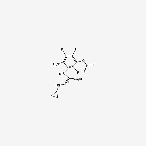 CCOC(=O)/C(=C/NC1CC1)C(=O)c1c(F)c(OC(F)F)c(F)c(F)c1[N+](=O)[O-]